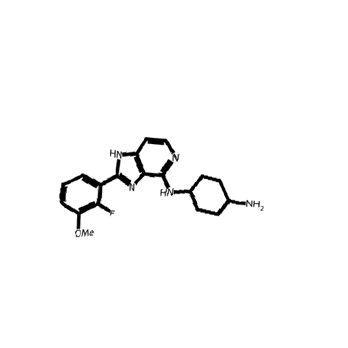 COc1cccc(-c2nc3c(NC4CCC(N)CC4)nccc3[nH]2)c1F